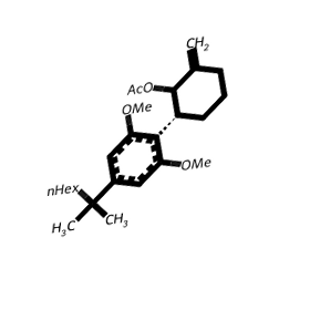 C=C1CCC[C@H](c2c(OC)cc(C(C)(C)CCCCCC)cc2OC)C1OC(C)=O